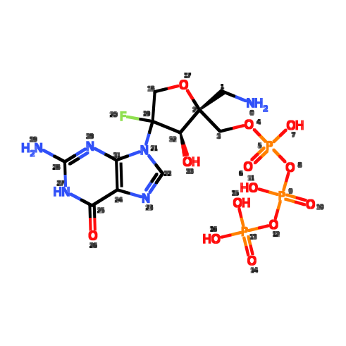 NC[C@]1(COP(=O)(O)OP(=O)(O)OP(=O)(O)O)OCC(F)(n2cnc3c(=O)[nH]c(N)nc32)[C@@H]1O